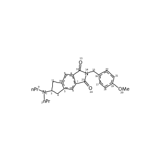 CCCN(CCC)C1Cc2cc3c(cc2C1)C(=O)N(Cc1ccc(OC)cc1)C3=O